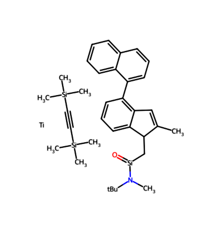 CC1=Cc2c(-c3cccc4ccccc34)cccc2C1C[Si](=O)N(C)C(C)(C)C.C[Si](C)(C)C#C[Si](C)(C)C.[Ti]